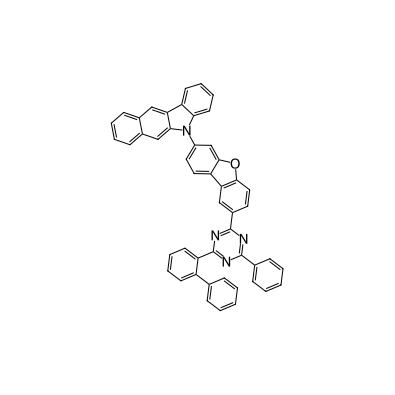 c1ccc(-c2nc(-c3ccc4oc5cc(-n6c7ccccc7c7cc8ccccc8cc76)ccc5c4c3)nc(-c3ccccc3-c3ccccc3)n2)cc1